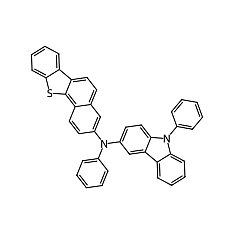 c1ccc(N(c2ccc3c(ccc4c5ccccc5sc34)c2)c2ccc3c(c2)c2ccccc2n3-c2ccccc2)cc1